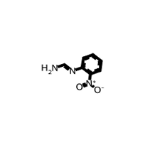 N/C=N/c1ccccc1[N+](=O)[O-]